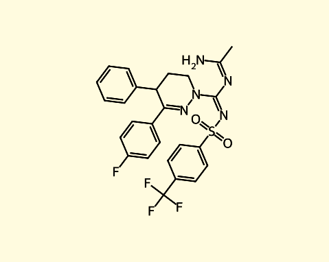 C/C(N)=N/C(=N/S(=O)(=O)c1ccc(C(F)(F)F)cc1)N1CCC(c2ccccc2)C(c2ccc(F)cc2)=N1